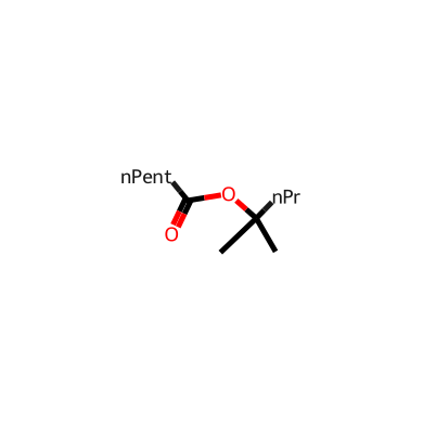 CCCCCC(=O)OC(C)(C)CCC